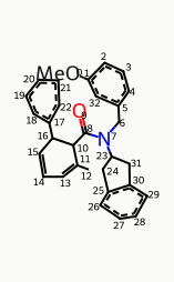 COc1cccc(CN(C(=O)C2C(C)=CC=CC2c2ccccc2)C2Cc3ccccc3C2)c1